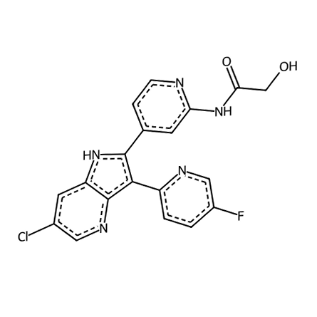 O=C(CO)Nc1cc(-c2[nH]c3cc(Cl)cnc3c2-c2ccc(F)cn2)ccn1